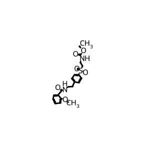 CCOC(=O)NCCS(=O)(=O)c1ccc(CCNC(=O)c2ccccc2OC)cc1